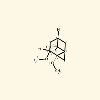 CO[C@@H]1C[C@@H]2C[C@@]3(C[C@@]13OC)C2(C)C